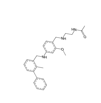 COc1cc(NCc2cccc(-c3ccccc3)c2C)ccc1CNCCNC(C)=O